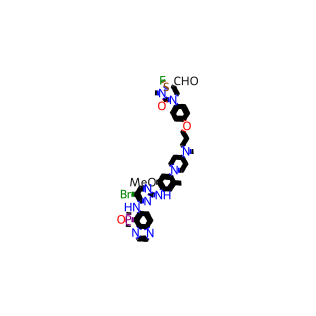 COc1cc(N2CCC(N(C)CCCOc3ccc(N(CCC=O)C(=O)N(C)SF)cc3)CC2)c(C)cc1Nc1ncc(Br)c(Nc2ccc3nccnc3c2P(C)(C)=O)n1